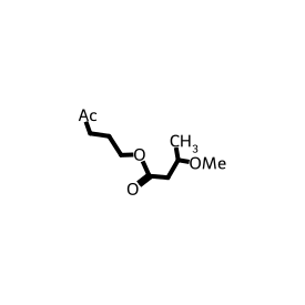 COC(C)CC(=O)OCCCC(C)=O